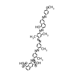 COc1ccc(N=Nc2ccc3c(O)c(N=Nc4cc(C)c(N=Nc5ccc(N=Nc6ccc(N=Nc7cc8c(S(=O)(=O)O)cccc8cc7S(=O)(=O)O)c(C)c6)c(C)c5)cc4C)ccc3c2)cc1